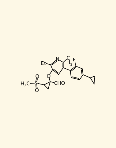 CCc1nc(C)c(-c2ccc(C3CC3)cc2F)cc1OC1(C=O)CC1S(C)(=O)=O